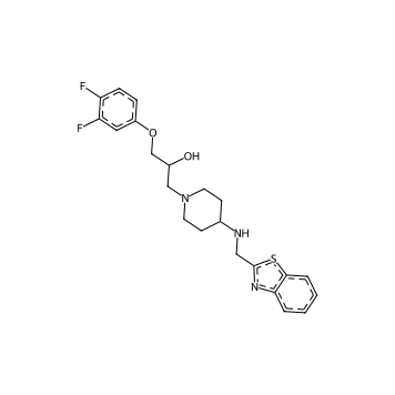 OC(COc1ccc(F)c(F)c1)CN1CCC(NCc2nc3ccccc3s2)CC1